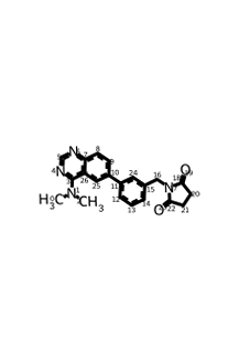 CN(C)c1ncnc2ccc(-c3cccc(CN4C(=O)CCC4=O)c3)cc12